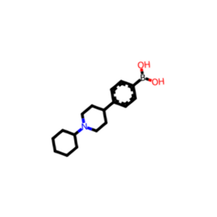 OB(O)c1ccc(C2CCN(C3CCCCC3)CC2)cc1